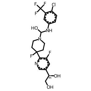 OC[C@H](O)c1cnc(C2(F)CCN(C(O)Nc3ccc(Cl)c(C(F)(F)F)c3)CC2)c(F)c1